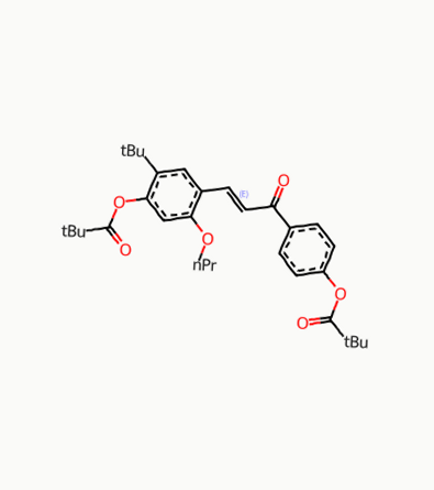 CCCOc1cc(OC(=O)C(C)(C)C)c(C(C)(C)C)cc1/C=C/C(=O)c1ccc(OC(=O)C(C)(C)C)cc1